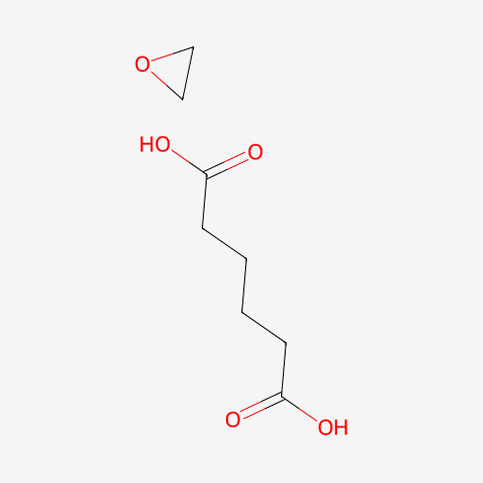 C1CO1.O=C(O)CCCCC(=O)O